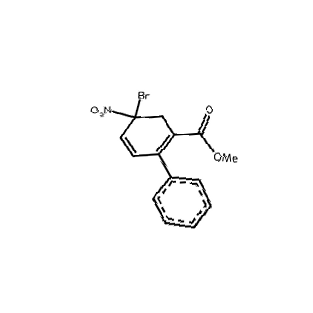 COC(=O)C1=C(c2ccccc2)C=CC(Br)([N+](=O)[O-])C1